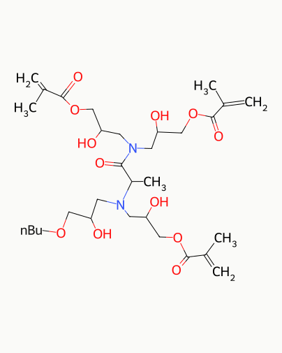 C=C(C)C(=O)OCC(O)CN(CC(O)COC(=O)C(=C)C)C(=O)C(C)N(CC(O)COCCCC)CC(O)COC(=O)C(=C)C